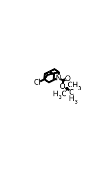 CC(C)(C)OC(=O)N1C2CC3CC1CC(Cl)(C3)C2